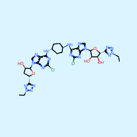 CCn1nnc([C@@H]2C[C@@H](O)C(n3cnc4c(N[C@H]5CC[C@H](Nc6nc(Cl)nc7c6ncn7C6O[C@H](c7nnn(CC)n7)[C@@H](O)[C@H]6O)CC5)nc(Cl)nc43)O2)n1